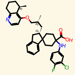 C[C@@H](COc1ccnc2c1[C@H](C)CCC2)C[C@H]1Cc2ccccc2C12CCC(Nc1ccc(F)c(Cl)c1)(C(=O)O)CC2